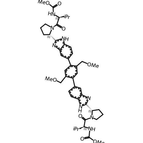 COCc1cc(-c2ccc3[nH]c([C@@H]4CCCN4C(=O)[C@@H](NC(=O)OC)C(C)C)nc3c2)c(COC)cc1-c1ccc2[nH]c([C@@H]3CCCN3C(=O)[C@@H](NC(=O)OC)C(C)C)nc2c1